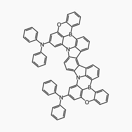 c1ccc(N(c2ccccc2)c2cc3c4c(c2)-n2c5ccc6c(c7cccc8c7n6-c6cc(N(c7ccccc7)c7ccccc7)cc7c6B8c6ccccc6O7)c5c5cccc(c52)B4c2ccccc2O3)cc1